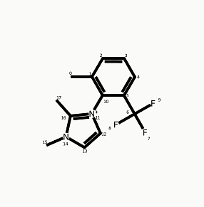 Cc1cccc(C(F)(F)F)c1-[n+]1ccn(C)c1C